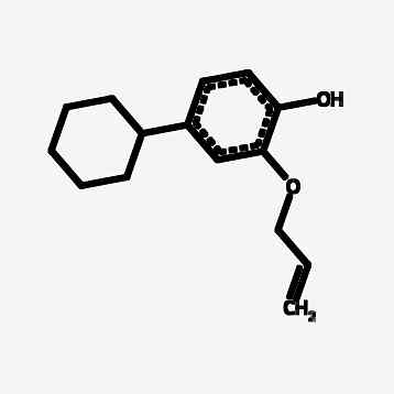 C=CCOc1cc(C2CCCCC2)ccc1O